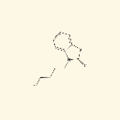 O=c1sc2ccccc2n1CCCCCl